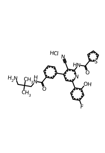 CC(C)(CN)CNC(=O)c1cccc(-c2cc(-c3ccc(F)cc3O)nc(NC(=O)c3cccs3)c2C#N)c1.Cl